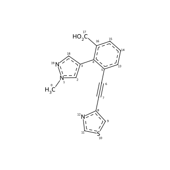 Cn1cc(-c2c(C#Cc3cscn3)cccc2C(=O)O)cn1